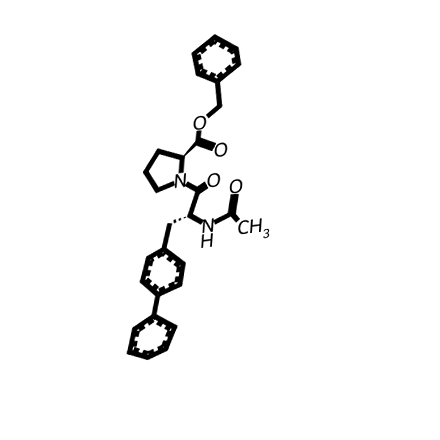 CC(=O)N[C@H](Cc1ccc(-c2ccccc2)cc1)C(=O)N1CCC[C@H]1C(=O)OCc1ccccc1